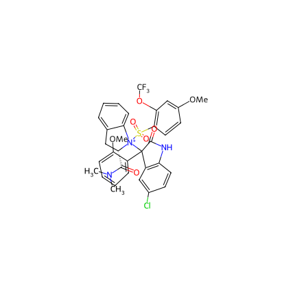 COc1ccc(S(=O)(=O)[N+]2(C3(c4ccccc4OC)C(=O)Nc4ccc(Cl)cc43)c3ccccc3C[C@H]2C(=O)N(C)C)c(OC(F)(F)F)c1